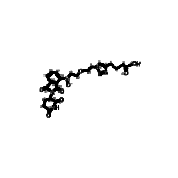 O=C(O)CCCc1cn(CCOCC[S+]([O-])c2cccc3c2C(=O)N(C2CCC(=O)NC2=O)C3=O)nn1